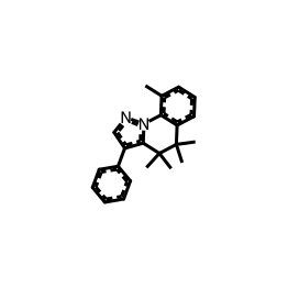 Cc1cccc2c1-n1ncc(-c3ccccc3)c1C(C)(C)C2(C)C